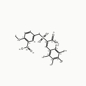 COc1ccc(CS(=O)(=O)C(=Cc2c(F)c(F)c(F)c(F)c2F)C(N)=O)cc1[N+](=O)[O-]